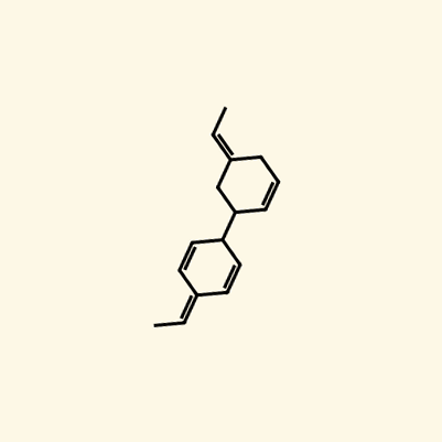 CC=C1C=CC(C2C=CC/C(=C\C)C2)C=C1